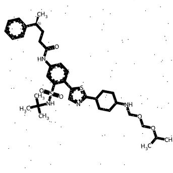 CC(C)OCOCNC1CCC(c2ncc(-c3ccc(NC(=O)CC[C@H](C)c4ccccc4)cc3S(=O)(=O)NC(C)(C)C)s2)CC1